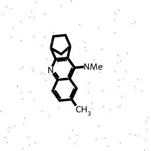 CNc1c2c(nc3ccc(C)cc13)C1CCC2C1